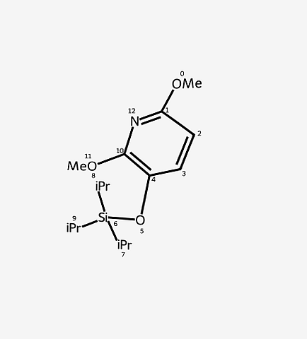 COc1ccc(O[Si](C(C)C)(C(C)C)C(C)C)c(OC)n1